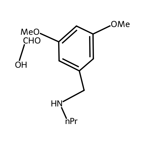 CCCNCc1cc(OC)cc(OC)c1.O=CO